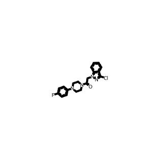 O=C(Cn1nc(Cl)c2ccccc21)N1CCN(c2ccc(F)cc2)CC1